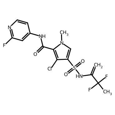 C=C(NS(=O)(=O)c1cn(C)c(C(=O)Nc2ccnc(F)c2)c1Cl)C(C)(F)F